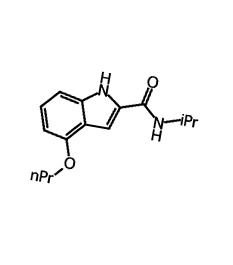 CCCOc1cccc2[nH]c(C(=O)NC(C)C)cc12